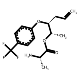 C=CC[C@@H](Oc1ccc(C(F)(F)F)cc1)[C@H](C)OC(=O)[C@H](C)N